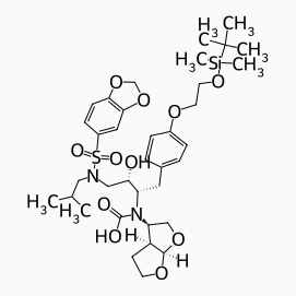 CC(C)CN(C[C@H](O)[C@H](Cc1ccc(OCCO[Si](C)(C)C(C)(C)C)cc1)N(C(=O)O)[C@H]1CO[C@H]2OCC[C@H]21)S(=O)(=O)c1ccc2c(c1)OCO2